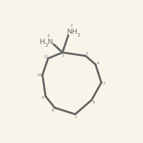 NC1(N)CCCCCCCCC1